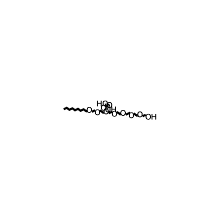 CCCCCCCCCOCCOCCOCCOCCOCCOCCOCCO.O=S(=O)(O)O